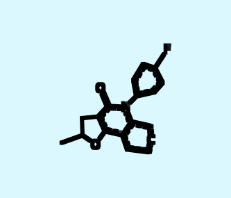 CC1Cc2c(c3ccccc3n(-c3ccc(F)cc3)c2=O)O1